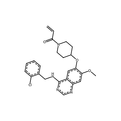 C=CC(=O)N1CCC(Oc2cc3c(NCc4ccccc4Cl)ncnc3cc2OC)CC1